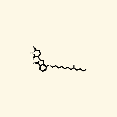 CCCCNCCCCCCCSc1cccc2c1CN(C1CCC(=O)NC1=O)C2=O